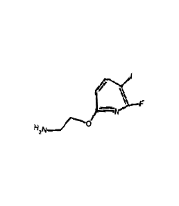 NCCOc1ccc(I)c(F)n1